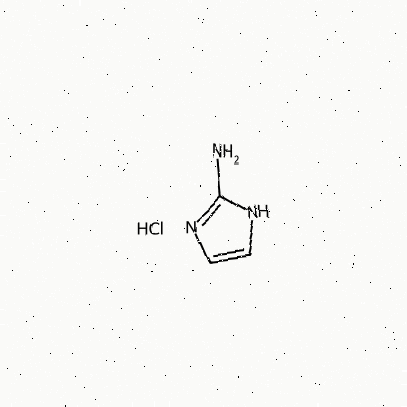 Cl.Nc1ncc[nH]1